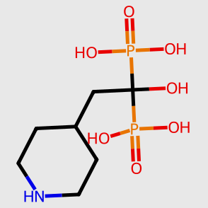 O=P(O)(O)C(O)(CC1CCNCC1)P(=O)(O)O